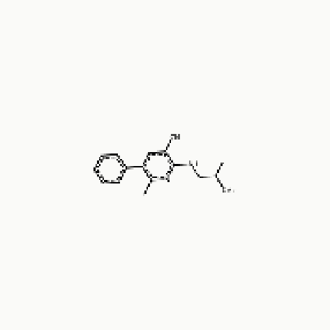 CC(=O)OC(C)CNc1nc(C)c(-c2ccccc2)cc1C#N